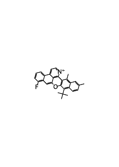 Cc1ccc2c(C(C)(C)C)c3c(c(C)c2c1)-c1c2c(cc4c(F)cccc4c2cc[n+]1C)O3